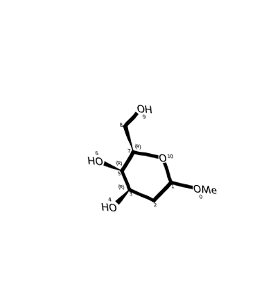 COC1C[C@@H](O)[C@@H](O)[C@@H](CO)O1